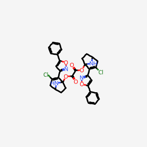 O=C(OC12CCC(CC(Cl)=C1c1cc(-c3ccccc3)on1)N2)C(=O)OC12CCC(CC(Cl)=C1c1cc(-c3ccccc3)on1)N2